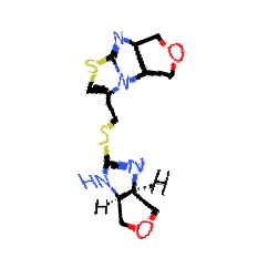 C1=C(CSC2=N[C@H]3COC[C@H]3N2)N2C(=NC3COCC32)S1